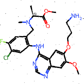 COC(=O)[C@H](C)N(C)Cc1cc(F)c(Cl)cc1Nc1ncnc2cc(OC)c(OCCCN)cc12